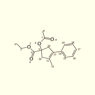 CCOC(=O)C1(OC(C)=O)CC(C)=C(c2ccccc2)C1